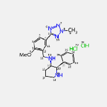 COc1ccc(-c2nnn(C)n2)cc1CN[C@@H]1CCCN[C@@H]1c1ccccc1.Cl.Cl